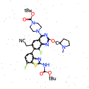 CN1CCC[C@H]1COc1nc(N2CCN(C(=O)OC(C)(C)C)CC2)c2cc(CC#N)c(-c3ccc(F)c4sc(NC(=O)OC(C)(C)C)nc34)c(F)c2n1